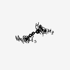 CC(C)(C)OC(=O)N1CCC[C@H]1c1nc2ccc(-c3ccc4c(c3)sc3cc(B5OC(C)(C)C(C)(C)O5)ccc34)cc2[nH]1